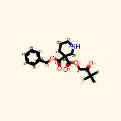 CC(C)(C)C(=O)COC(=O)C1(C(=O)OCc2ccccc2)CCCNC1